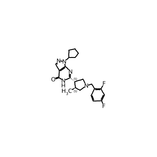 C[C@@H]1CN(Cc2ccc(F)cc2F)C[C@H]1c1nc2c(cnn2C2CCCC2)c(=O)[nH]1